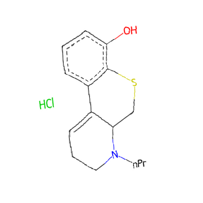 CCCN1CCC=C2c3cccc(O)c3SCC21.Cl